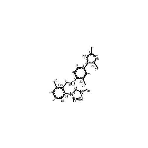 Cc1nc(-c2ccc(OCc3c(C)cccc3N3CN(C)N=N3)c(C)c2)c(C)s1